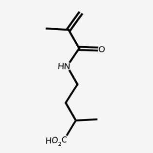 C=C(C)C(=O)NCCC(C)C(=O)O